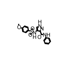 COc1ccc(S(=O)(=O)Nc2c[nH]nc2C(=O)Nc2ccccc2)cc1